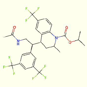 CC(=O)NCC(c1cc(C(F)(F)F)cc(C(F)(F)F)c1)C1CC(C)N(C(=O)OC(C)C)c2ccc(C(F)(F)F)cc21